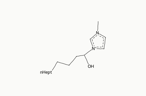 CCCCCCCCCCC(O)[n+]1ccn(C)c1